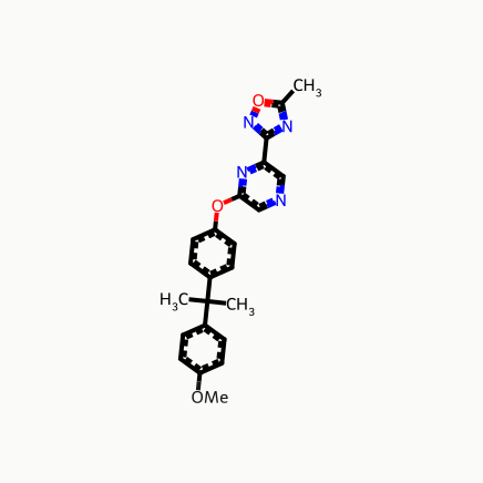 COc1ccc(C(C)(C)c2ccc(Oc3cncc(-c4noc(C)n4)n3)cc2)cc1